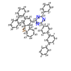 c1ccc(-c2cccc(-c3ccc(-c4nc(-c5ccccc5)nc(-c5cc6c7ccccc7c7ccccc7c6c6sc7ccccc7c56)n4)cc3)c2)cc1